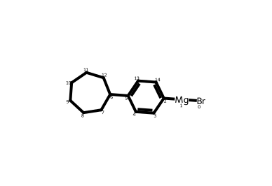 [Br][Mg][c]1ccc(C2CCCCCC2)cc1